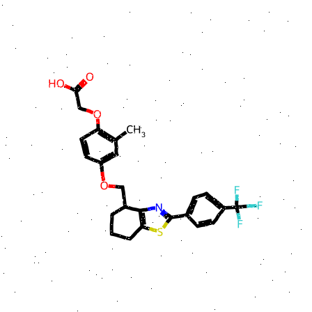 Cc1cc(OCC2CCCc3sc(-c4ccc(C(F)(F)F)cc4)nc32)ccc1OCC(=O)O